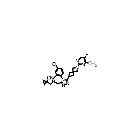 Cc1nc(N2CC3(CC(c4nnc5n4-c4ccc(Cl)cc4CN(CC4(C#N)CC4)C5)C3)C2)ncc1F